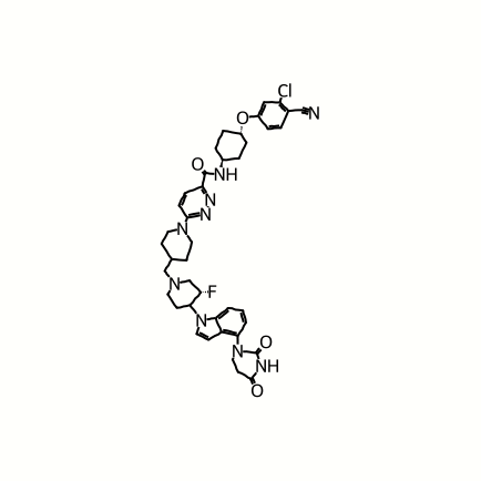 N#Cc1ccc(O[C@H]2CC[C@H](NC(=O)c3ccc(N4CCC(CN5CCC(n6ccc7c(N8CCC(=O)NC8=O)cccc76)[C@@H](F)C5)CC4)nn3)CC2)cc1Cl